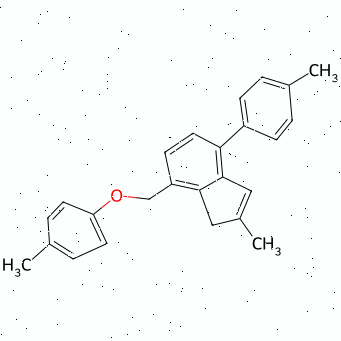 CC1=Cc2c(-c3ccc(C)cc3)ccc(COc3ccc(C)cc3)c2C1